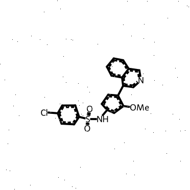 COc1cc(NS(=O)(=O)c2ccc(Cl)cc2)ccc1-c1cncc2ccccc12